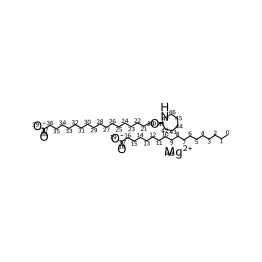 CCCCCCCCCCCCCCCCCC(=O)[O-].CCCCCCCCCCCCCCCCCC(=O)[O-].O=C1CCCCCN1.[Mg+2]